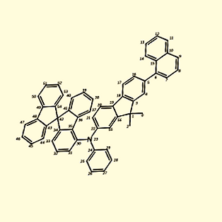 CC1(C)c2cc(-c3cccc4ccccc34)ccc2-c2ccc(N(c3ccccc3)c3cccc4c3-c3ccccc3C43c4ccccc4-c4ccccc43)cc21